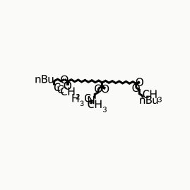 C=C=C=CC(CCCC)CCOC(=O)CCCCCCCCCC(CCCCCCCCCC(=O)OCCC(C)CCCC)C(=O)OCCCN(C)C